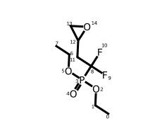 CCOP(=O)(OCC)C(F)(F)CC1CO1